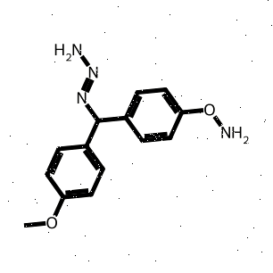 COc1ccc(C(N=NN)c2ccc(ON)cc2)cc1